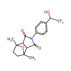 CC12CCC(C)(O1)C1C(=O)N(c3ccc(C(O)C(F)(F)F)cc3)C(=O)C12